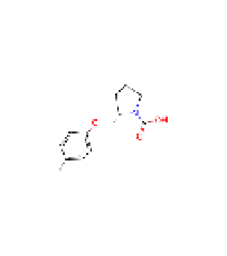 Cc1ccc(OC[C@@H]2CCCN2C(=O)O)cc1